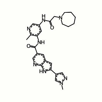 Cc1ncc(NC(=O)CN2CCCCCC2)cc1NC(=O)c1cnc2[nH]c(-c3cnn(C)c3)cc2c1